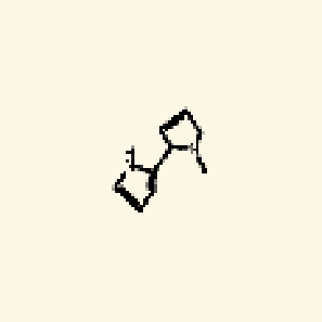 CN1CC=CC1c1ccc[nH]1